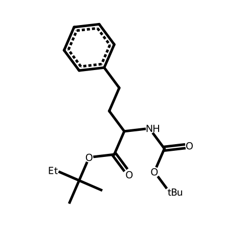 CCC(C)(C)OC(=O)C(CCc1ccccc1)NC(=O)OC(C)(C)C